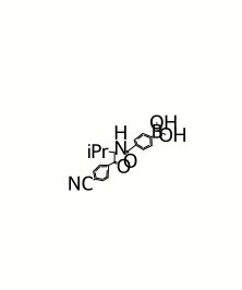 CC(C)C(NC(=O)c1ccc(B(O)O)cc1)C(=O)c1ccc(C#N)cc1